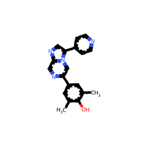 Cc1cc(-c2cn3c(-c4ccncc4)cnc3cn2)cc(C)c1O